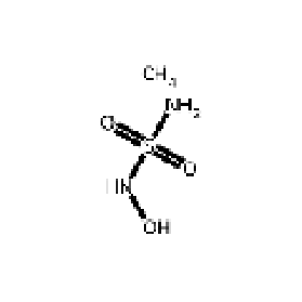 C.NS(=O)(=O)NO